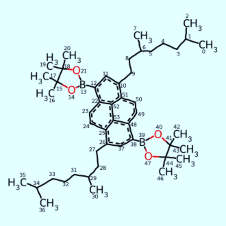 CC(C)CCCC(C)CCc1cc(B2OC(C)(C)C(C)(C)O2)c2ccc3c(CCC(C)CCCC(C)C)cc(B4OC(C)(C)C(C)(C)O4)c4ccc1c2c34